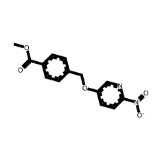 COC(=O)c1ccc(COc2ccc([N+](=O)[O-])nc2)cc1